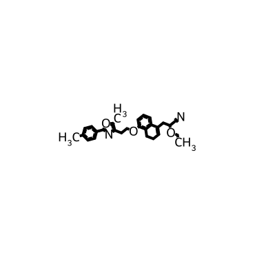 CCOC(C#N)CC1=CCCc2c(OCCc3nc(-c4ccc(C)cc4)oc3C)cccc21